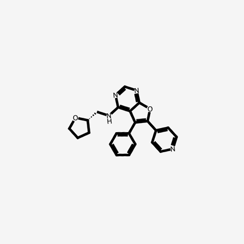 c1ccc(-c2c(-c3ccncc3)oc3ncnc(NC[C@@H]4CCCO4)c23)cc1